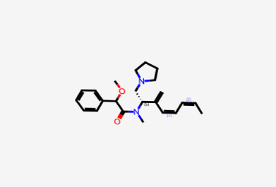 C=C(/C=C\C=C/C)[C@@H](CN1CCCC1)N(C)C(=O)C(OC)c1ccccc1